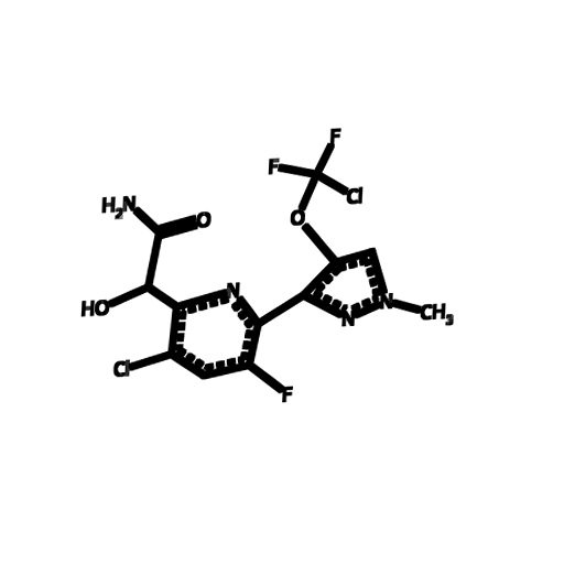 Cn1cc(OC(F)(F)Cl)c(-c2nc(C(O)C(N)=O)c(Cl)cc2F)n1